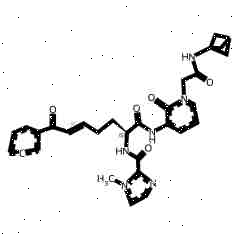 Cn1ccnc1C(=O)N[C@@H](CC/C=C/C(=O)c1ccccc1)C(=O)Nc1cccn(CC(=O)NC23CC(C2)C3)c1=O